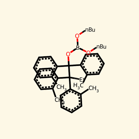 CCCCOB(OCCCC)OC(c1ccccc1C)(c1ccccc1C)C(CC)(c1ccccc1C)c1ccccc1C